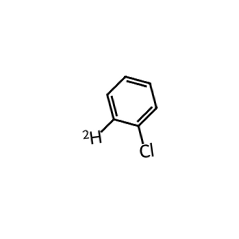 [2H]c1ccccc1Cl